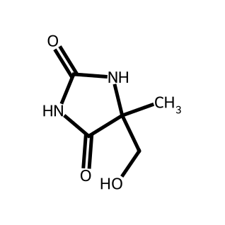 CC1(CO)NC(=O)NC1=O